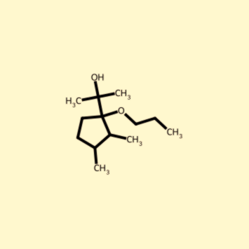 CCCOC1(C(C)(C)O)CCC(C)C1C